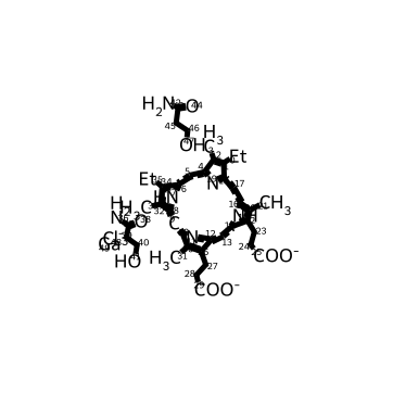 CCC1=C(C)c2cc3[nH]c(cc4nc(cc5[nH]c(cc1n2)c(C)c5CCC(=O)[O-])C(CCC(=O)[O-])=C4C)c(C)c3CC.NC(=O)CCO.NC(=O)CCO.[Cl-].[Ga+3]